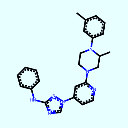 Cc1cccc(N2CCN(c3cc(-n4cnc(Nc5ccccc5)n4)ccn3)CC2C)c1